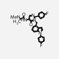 CNC(C)C(=O)Nc1cnc(-c2ccc(F)cc2)n(Cc2cccc3c2ccn3-c2ccc(F)cc2)c1=O